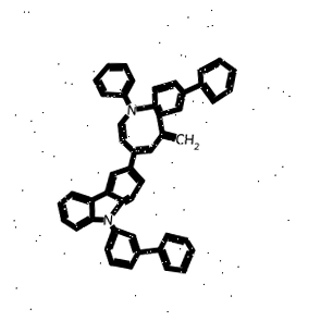 C=C1/C=C(c2ccc3c(c2)c2ccccc2n3-c2cccc(-c3ccccc3)c2)\C=C/N(c2ccccc2)c2ccc(-c3ccccc3)cc21